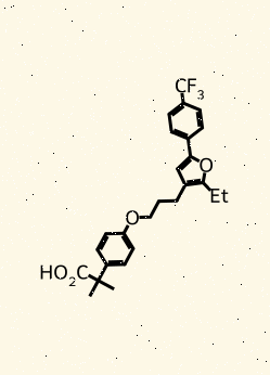 CCc1oc(-c2ccc(C(F)(F)F)cc2)cc1CCCOc1ccc(C(C)(C)C(=O)O)cc1